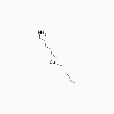 CCCCCCCCCCCCN.[Cu]